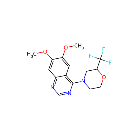 COc1cc2ncnc(N3CCOC(C(F)(F)F)C3)c2cc1OC